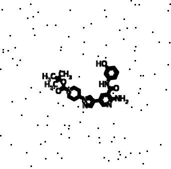 CC(C)(C)OC(=O)N1CCC(n2cc(-c3cnc(N)c(C(=O)Nc4cccc(O)c4)c3)cn2)CC1